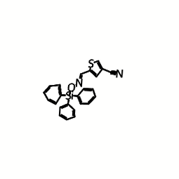 N#Cc1csc(C=NO[Si](c2ccccc2)(c2ccccc2)c2ccccc2)c1